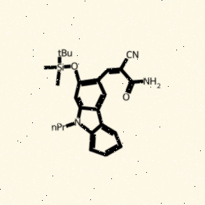 CCCn1c2ccccc2c2cc(C=C(C#N)C(N)=O)c(O[Si](C)(C)C(C)(C)C)cc21